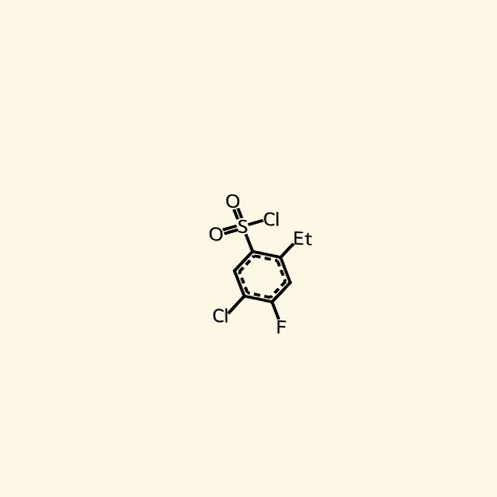 CCc1cc(F)c(Cl)cc1S(=O)(=O)Cl